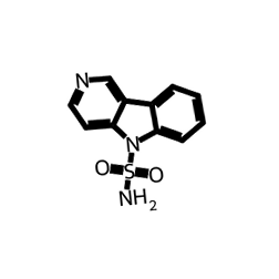 NS(=O)(=O)n1c2ccccc2c2cnccc21